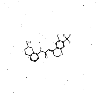 O=C(C=C1CCOc2cc(C(F)(F)F)c(F)cc21)Nc1cccc2c1CC(O)CC2